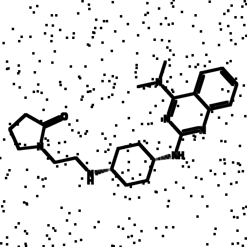 CN(C)c1nc(N[C@H]2CC[C@@H](NCCN3CCCC3=O)CC2)nc2ccccc12